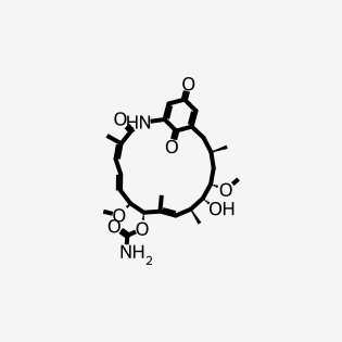 CO[C@H]1C[C@H](C)CC2=CC(=O)C=C(NC(=O)/C(C)=C\C=C\[C@@H](OC)[C@@H](OC(N)=O)/C(C)=C/[C@H](C)[C@H]1O)C2=O